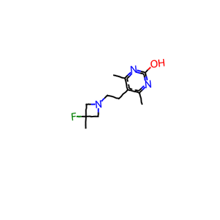 Cc1nc(O)nc(C)c1CCN1CC(C)(F)C1